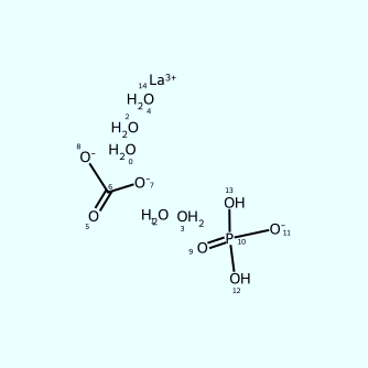 O.O.O.O.O.O=C([O-])[O-].O=P([O-])(O)O.[La+3]